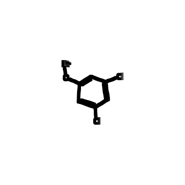 C[CH]Oc1cc(Cl)cc(Cl)c1